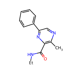 CCNC(=O)c1nc(-c2ccccc2)cnc1C